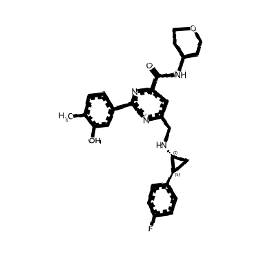 Cc1ccc(-c2nc(CN[C@@H]3C[C@H]3c3ccc(F)cc3)cc(C(=O)NC3CCOCC3)n2)cc1O